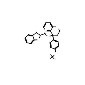 O=C(NC1(c2ccc(OC(F)(F)F)cc2)CCOc2cccnc21)C1Cc2ccccc2O1